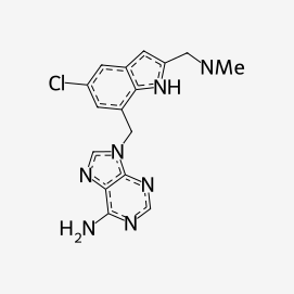 CNCc1cc2cc(Cl)cc(Cn3cnc4c(N)ncnc43)c2[nH]1